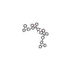 Cc1cc(N(c2ccc(-c3ccc4c5ccccc5c5ccccc5c4c3)cc2)c2ccccc2-c2ccccc2)cc(C)c1-c1c(C)cc(N(c2ccc(-c3ccc4c5ccccc5c5ccccc5c4c3)cc2)c2ccccc2-c2ccccc2)cc1C